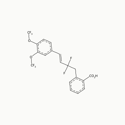 O=C(O)c1ccccc1CC(F)(F)/C=C/c1ccc(OC(F)(F)F)c(OC(F)(F)F)c1